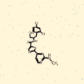 CNc1nccc(-c2ncc(C(=O)NC(CO)Cc3ccc(Cl)cc3Cl)s2)n1